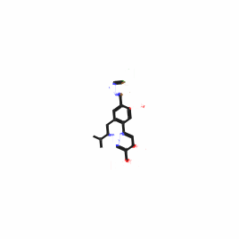 COc1cc2c(cc1-c1ncc(Cl)s1)CC(C(C)C)n1cc(C(=O)O)c(=O)cc1-2